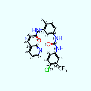 Cc1ccc(NC(=O)Nc2ccc(Cl)c(C(F)(F)F)c2)cc1NC(=O)/C=C\c1cccnc1